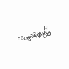 CCCCc1csc(OCC(O)CN2CCN(CC(=O)Nc3c(C)cccc3C)CC2)c1